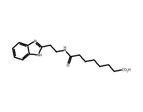 O=C(O)CCCCCCC(=O)NCCc1nc2ccccc2[nH]1